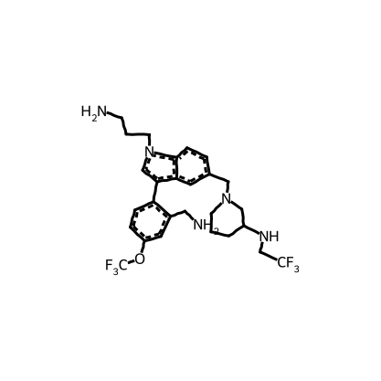 NCCCn1cc(-c2ccc(OC(F)(F)F)cc2CN)c2cc(CN3CCCC(NCC(F)(F)F)C3)ccc21